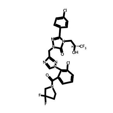 O=C(c1cccc(Cl)c1-n1cnc(Cn2nc(-c3ccc(Cl)cc3)n(C[C@@H](O)C(F)(F)F)c2=O)n1)N1CCC(F)(F)C1